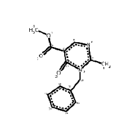 COC(=O)c1cnc(C)n(Cc2ccccc2)c1=O